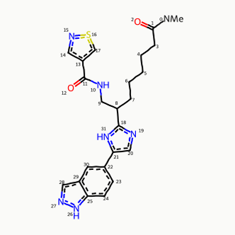 CNC(=O)CCCCCC(CNC(=O)c1cnsc1)c1ncc(-c2ccc3[nH]ncc3c2)[nH]1